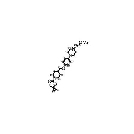 COOSN1CCN(c2ccc(OCC3CCN(C(=O)OC4(C)CC4)CC3)nc2)CC1